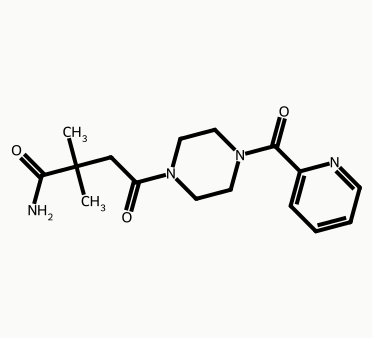 CC(C)(CC(=O)N1CCN(C(=O)c2ccccn2)CC1)C(N)=O